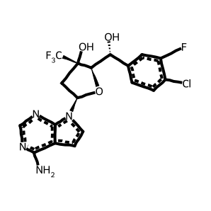 Nc1ncnc2c1ccn2[C@H]1C[C@@](O)(C(F)(F)F)[C@@H]([C@H](O)c2ccc(Cl)c(F)c2)O1